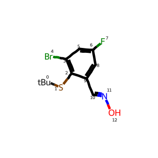 CC(C)(C)Sc1c(Br)cc(F)cc1C=NO